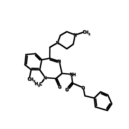 Cc1cccc2c1N(C)C(=O)C(NC(=O)OCc1ccccc1)N=C2CN1CCN(C)CC1